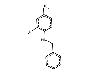 Nc1cc([N+](=O)[O-])ccc1NCc1ccccc1